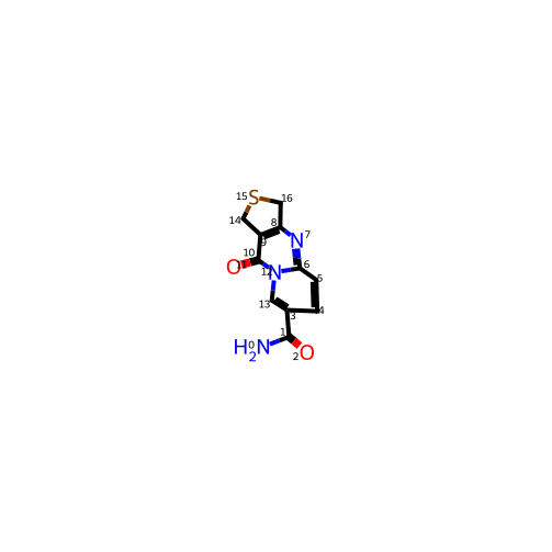 NC(=O)c1ccc2nc3c(c(=O)n2c1)CSC3